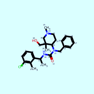 Cc1c(Cl)cccc1C(C)NC(=O)N(Cc1ccccc1)C1CCN(C)CC1(C)CO